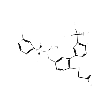 CN(Cc1ccc(OCC(=O)O)c(-c2cccc(C(F)(F)F)c2)c1)S(=O)(=O)c1cccc(F)c1